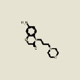 Nc1ccc2c(c1)OCC(=O)N2CCCN1CCOCC1